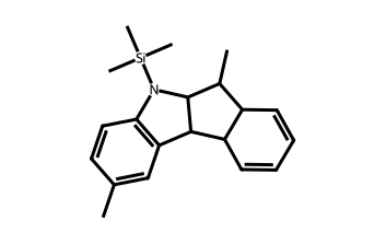 Cc1ccc2c(c1)C1C3C=CC=CC3C(C)C1N2[Si](C)(C)C